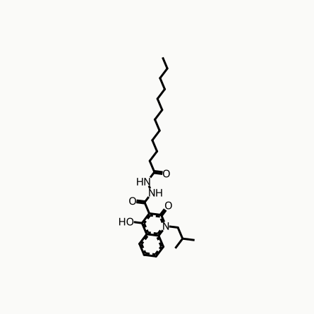 CCCCCCCCCCCC(=O)NNC(=O)c1c(O)c2ccccc2n(CC(C)C)c1=O